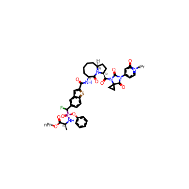 CCCOC(=O)[C@H](C)NP(=O)(Oc1ccccc1)C(F)c1ccc2sc(C(=O)N[C@H]3CCCC[C@H]4CC[C@@H](C(=O)N5C(=O)N(c6ccn(C(C)C)c(=O)c6)C(=O)C56CC6)N4C3=O)cc2c1